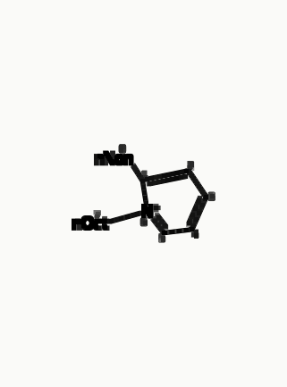 CCCCCCCCCc1cccc[n+]1CCCCCCCC